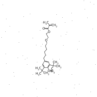 C=C(C)C(=O)OCCOCCCCCCc1cc(C(C)(C)C)c(O)c(C(C)(C)C)c1